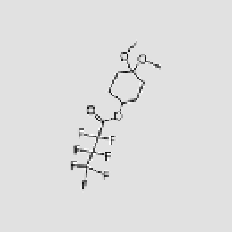 COC1(OC)CCC(OC(=O)C(F)(F)C(F)(F)C(F)(F)F)CC1